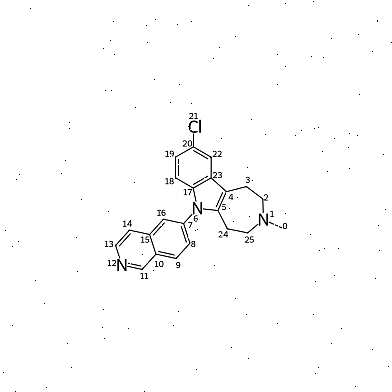 CN1CCc2c(n(-c3ccc4cnccc4c3)c3ccc(Cl)cc23)CC1